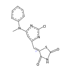 CN(c1ccccc1)c1cc(/C=C2\SC(=O)NC2=O)nc(Cl)n1